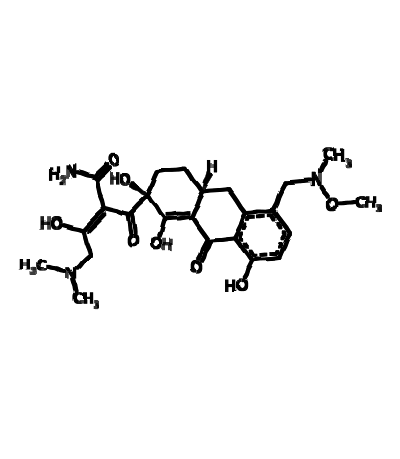 CON(C)Cc1ccc(O)c2c1C[C@H]1CC[C@@](O)(C(=O)/C(C(N)=O)=C(/O)CN(C)C)C(O)=C1C2=O